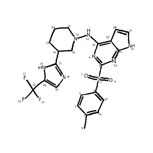 Cc1ccc(S(=O)(=O)c2nc(NN3CCCC(c4ncc(C(F)(F)F)[nH]4)C3)c3cc[nH]c3n2)cc1